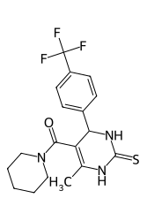 CC1=C(C(=O)N2CCCCC2)C(c2ccc(C(F)(F)F)cc2)NC(=S)N1